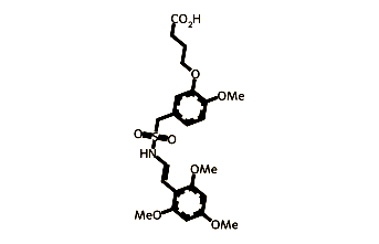 COc1cc(OC)c(C=CNS(=O)(=O)Cc2ccc(OC)c(OCCCC(=O)O)c2)c(OC)c1